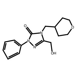 O=c1n(-c2ccccc2)nc(CO)n1CC1CCOCC1